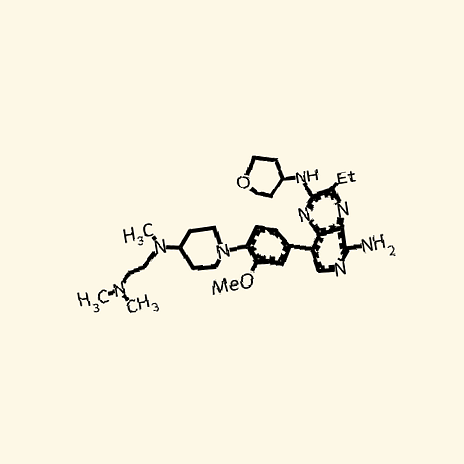 CCc1nc2c(N)ncc(-c3ccc(N4CCC(N(C)CCN(C)C)CC4)c(OC)c3)c2nc1NC1CCOCC1